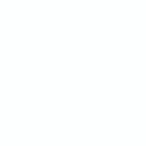 [CH2]CC(C1CCCC1)C1CCCC1